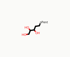 CCCCCCCC(O)C(O)CO